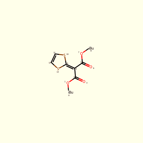 CCC(C)OC(=O)C(C(=O)OC(C)CC)=C1SC=CS1